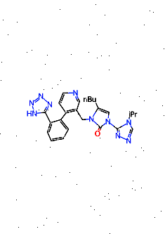 CCCCc1cn(-c2nncn2C(C)C)c(=O)n1Cc1cnccc1-c1ccccc1-c1nnn[nH]1